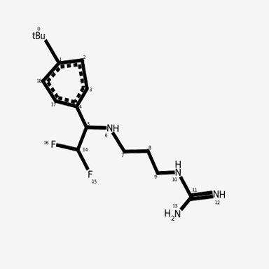 CC(C)(C)c1ccc(C(NCCCNC(=N)N)C(F)F)cc1